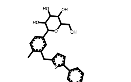 Cc1ccc(C2OC(CO)C(O)C(O)C2O)cc1Cc1ccc(-c2ccc(F)cc2)s1